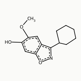 COc1cc2c(C3CCCCC3)noc2cc1O